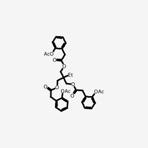 CCC(COC(=O)Cc1ccccc1OC(C)=O)(COC(=O)Cc1ccccc1OC(C)=O)COC(=O)Cc1ccccc1OC(C)=O